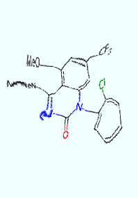 CNc1nc(=O)n(-c2ccccc2Cl)c2cc(C(F)(F)F)cc(OC)c12